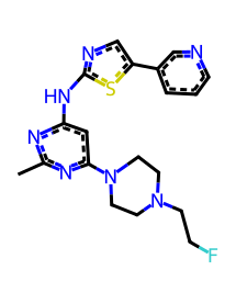 Cc1nc(Nc2ncc(-c3cccnc3)s2)cc(N2CCN(CCF)CC2)n1